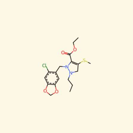 CCCN1CC(SC)=C(C(=O)OCC)N1Cc1cc2c(cc1Cl)OCO2